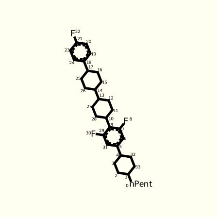 CCCCCC1CCC(c2cc(F)c(C3CCC(C4CCC(c5ccc(F)cc5)CC4)CC3)c(F)c2)CC1